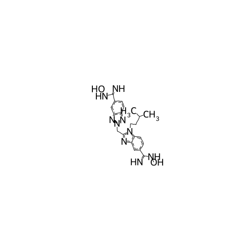 CC(C)CCn1c(Cn2nc3ccc(C(=N)NO)cc3n2)nc2cc(C(=N)NO)ccc21